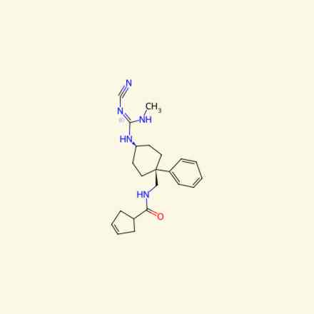 CN/C(=N\C#N)N[C@H]1CC[C@](CNC(=O)C2CC=CC2)(c2ccccc2)CC1